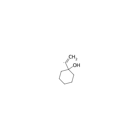 C=[C]C1(O)CCCCC1